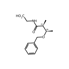 C[C@H](C(=O)NCC(=O)O)[C@@H](C)OCc1ccccc1